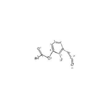 CCC(C)C(=O)Oc1cccc(N=C=O)c1F